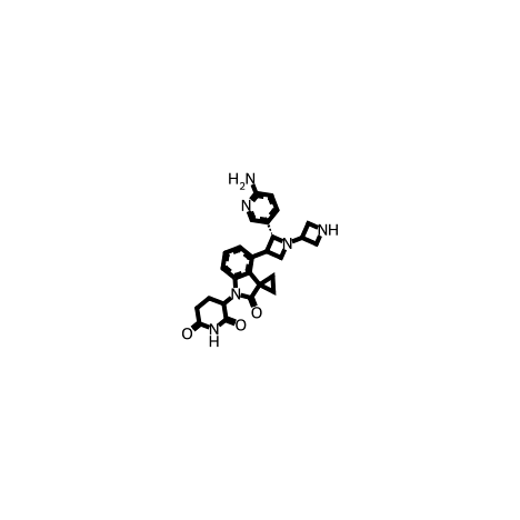 Nc1ccc([C@H]2C(c3cccc4c3C3(CC3)C(=O)N4C3CCC(=O)NC3=O)CN2C2CNC2)cn1